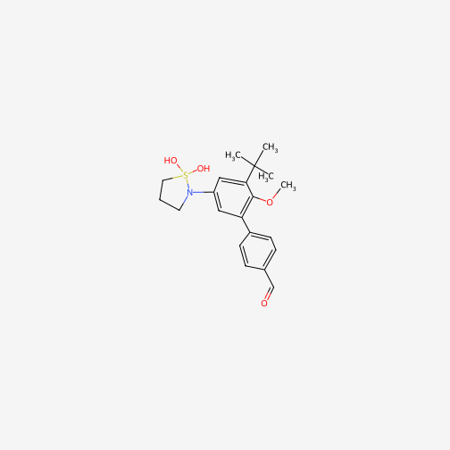 COc1c(-c2ccc(C=O)cc2)cc(N2CCCS2(O)O)cc1C(C)(C)C